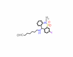 CN1c2ccccc2C(NCCCCCCC=O)c2ccc(I)cc2S1(=O)=O